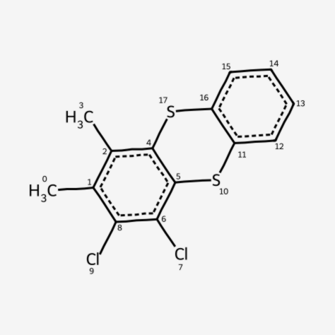 Cc1c(C)c2c(c(Cl)c1Cl)Sc1ccccc1S2